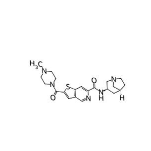 CN1CCN(C(=O)c2cc3cnc(C(=O)N[C@@H]4C[C@@H]5CCN(C5)C4)cc3s2)CC1